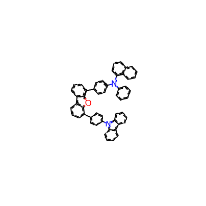 c1ccc(N(c2ccc(-c3cccc4c3oc3c(-c5ccc(-n6c7ccccc7c7ccccc76)cc5)cccc34)cc2)c2cccc3ccccc23)cc1